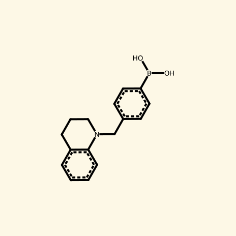 OB(O)c1ccc(CN2CCCc3ccccc32)cc1